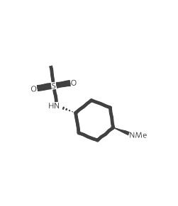 CN[C@H]1CC[C@H](NS(C)(=O)=O)CC1